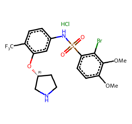 COc1ccc(S(=O)(=O)Nc2ccc(C(F)(F)F)c(O[C@@H]3CCNC3)c2)c(Br)c1OC.Cl